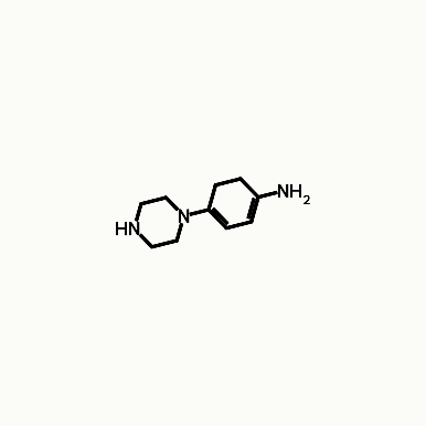 NC1=CC=C(N2CCNCC2)CC1